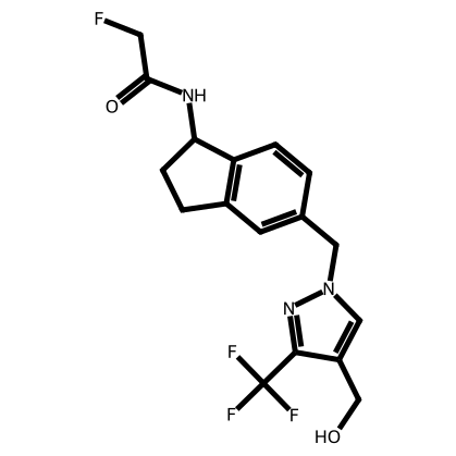 O=C(CF)NC1CCc2cc(Cn3cc(CO)c(C(F)(F)F)n3)ccc21